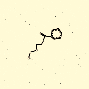 CSSCOC(=O)c1ccccc1